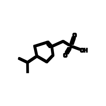 CC(C)C1CC=C(CS(=O)(=O)O)CC1